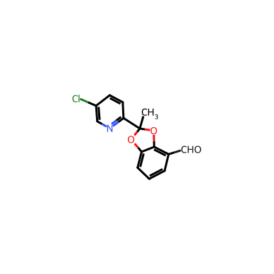 CC1(c2ccc(Cl)cn2)Oc2cccc(C=O)c2O1